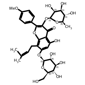 COc1ccc(-c2oc3c(CC=C(C)C)c(O[C@@H]4O[C@H](CO)[C@@H](O)[C@H](O)[C@H]4O)cc(O)c3c(=O)c2O[C@@H]2O[C@H](C)[C@@H](O)[C@H](O)[C@@H]2O)cc1